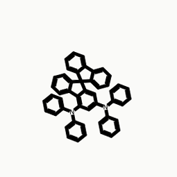 c1ccc(N(c2ccccc2)c2cc(N(c3ccccc3)c3ccccc3)c3c(c2)C2(c4ccccc4-c4ccccc42)c2ccccc2-3)cc1